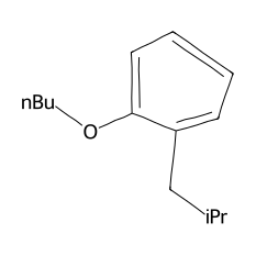 CCCCOc1ccccc1CC(C)C